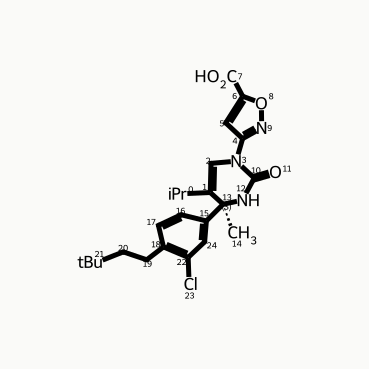 CC(C)C1=CN(c2cc(C(=O)O)on2)C(=O)N[C@@]1(C)c1ccc(CCC(C)(C)C)c(Cl)c1